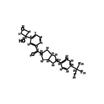 O=C(c1cccc(C2(O)COC2)c1)N1CC2CN(c3ccc(C(F)(F)F)cn3)CC2C1